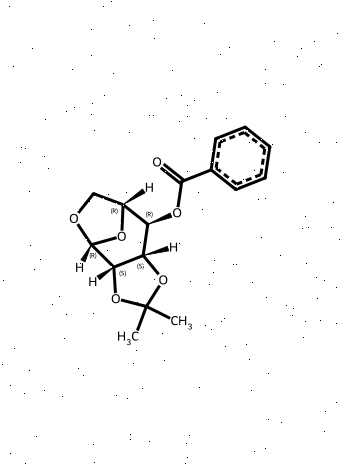 CC1(C)O[C@@H]2[C@H](O1)[C@@H]1OC[C@@H](O1)[C@H]2OC(=O)c1ccccc1